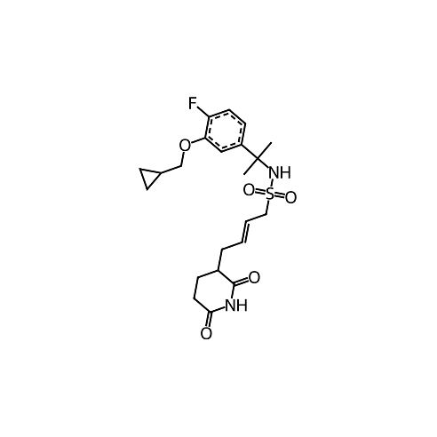 CC(C)(NS(=O)(=O)C/C=C/CC1CCC(=O)NC1=O)c1ccc(F)c(OCC2CC2)c1